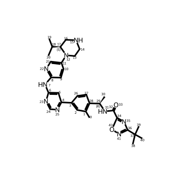 Cc1cc(-c2cc(Nc3ccc(N4CCNC[C@@H]4C(C)C)cn3)ncn2)ccc1[C@@H](C)NC(=O)c1nc(C(C)(C)C)no1